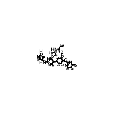 C=CC(=O)NC1CN(c2nc(Nc3cn[nH]c3)ncc2-c2ccc(Oc3nccc(C)n3)c(F)c2)C1